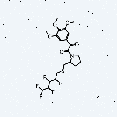 COc1cc(C(=O)C(=O)N2CCCC2CSCC(F)C(F)C(F)C(F)F)cc(OC)c1OC